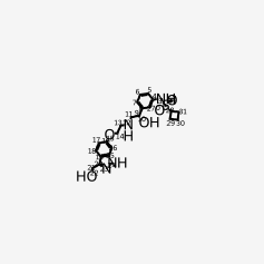 O=S(=O)(Nc1cccc(C(O)CNCCOc2ccc3c(CO)n[nH]c3c2)c1)C1CCC1